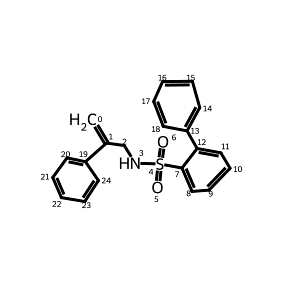 C=C(CNS(=O)(=O)c1ccccc1-c1ccccc1)c1ccccc1